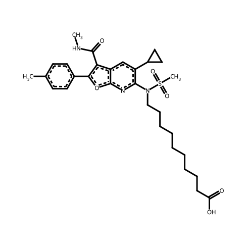 CNC(=O)c1c(-c2ccc(C)cc2)oc2nc(N(CCCCCCCCCC(=O)O)S(C)(=O)=O)c(C3CC3)cc12